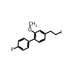 COc1cc(CCI)ccc1-c1ccc(F)cc1